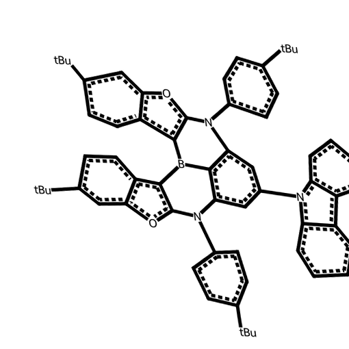 CC(C)(C)c1ccc(N2c3cc(-n4c5ccccc5c5ccccc54)cc4c3B(c3c2oc2cc(C(C)(C)C)ccc32)c2c(oc3cc(C(C)(C)C)ccc23)N4c2ccc(C(C)(C)C)cc2)cc1